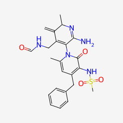 C=C1C(CNC=O)=C(n2c(C)cc(Cc3ccccc3)c(NS(C)(=O)=O)c2=O)C(N)=NC1C